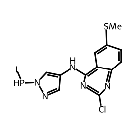 CSc1ccc2nc(Cl)nc(Nc3cnn(PI)c3)c2c1